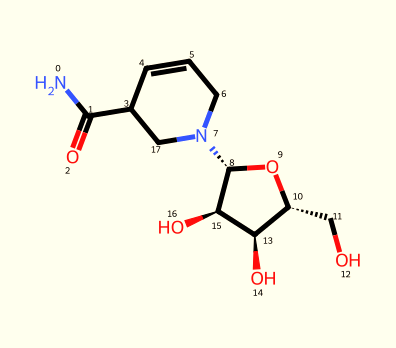 NC(=O)C1C=CCN([C@@H]2O[C@H](CO)[C@@H](O)[C@H]2O)C1